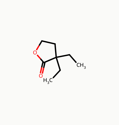 CCC1(CC)CCOC1=O